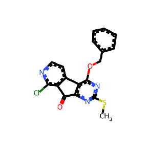 CSc1nc(OCc2ccccc2)c2c(n1)C(=O)c1c-2ccnc1Cl